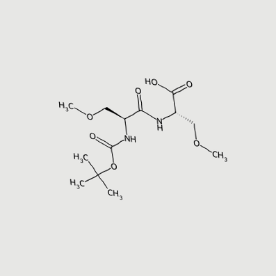 COC[C@H](NC(=O)[C@H](COC)NC(=O)OC(C)(C)C)C(=O)O